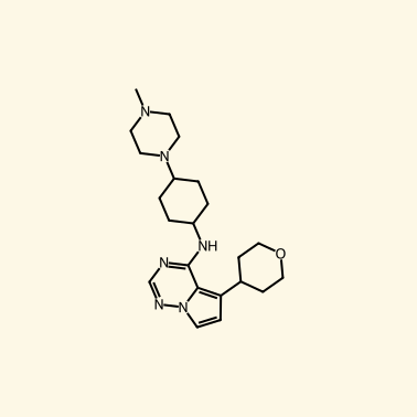 CN1CCN(C2CCC(Nc3ncnn4ccc(C5CCOCC5)c34)CC2)CC1